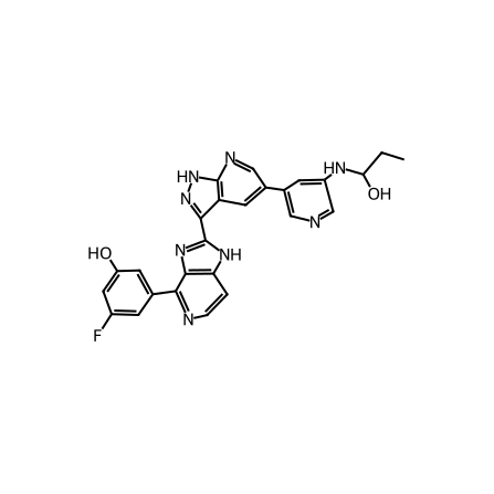 CCC(O)Nc1cncc(-c2cnc3[nH]nc(-c4nc5c(-c6cc(O)cc(F)c6)nccc5[nH]4)c3c2)c1